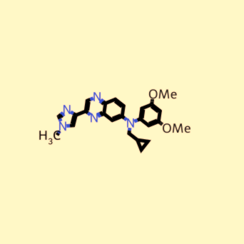 COc1cc(OC)cc(N(CC2CC2)c2ccc3ncc(-c4cn(C)cn4)nc3c2)c1